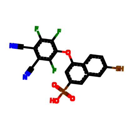 N#Cc1c(F)c(F)c(Oc2cc(S(=O)(=O)O)cc3cc(S)ccc23)c(F)c1C#N